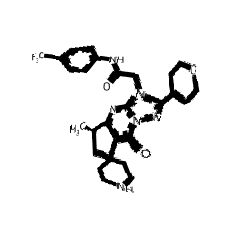 C[C@@H]1CC2(CCNCC2)c2c1nc1n(CC(=O)Nc3ccc(C(F)(F)F)cc3)c(C3=CCOCC3)nn1c2=O